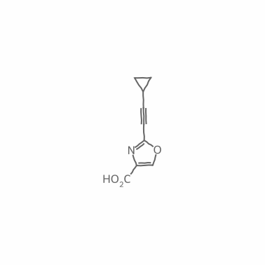 O=C(O)c1coc(C#CC2CC2)n1